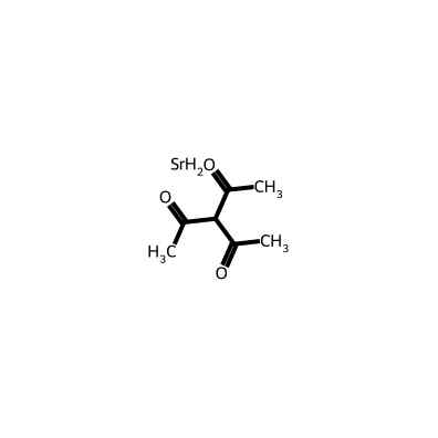 CC(=O)C(C(C)=O)C(C)=O.[SrH2]